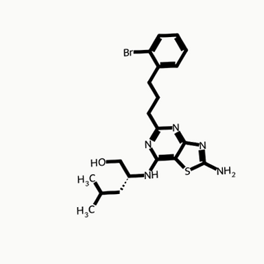 CC(C)C[C@H](CO)Nc1nc(CCCc2ccccc2Br)nc2nc(N)sc12